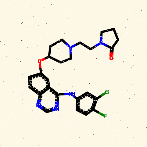 O=C1CCCN1CCN1CCC(Oc2ccc3ncnc(Nc4ccc(F)c(Cl)c4)c3c2)CC1